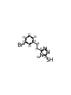 Cn1c(S)nnc1CCc1cccc(Br)c1